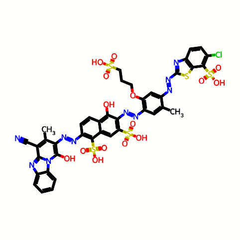 Cc1cc(N=Nc2c(S(=O)(=O)O)cc3c(S(=O)(=O)O)c(N=Nc4c(C)c(C#N)c5nc6ccccc6n5c4O)ccc3c2O)c(OCCCS(=O)(=O)O)cc1N=Nc1nc2ccc(Cl)c(S(=O)(=O)O)c2s1